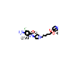 COc1cc(N)c(Cl)cc1C(=O)NC1CCN(CCCCCC(=O)O[C@H]2CN3CCC2CC3)C[C@@H]1OC